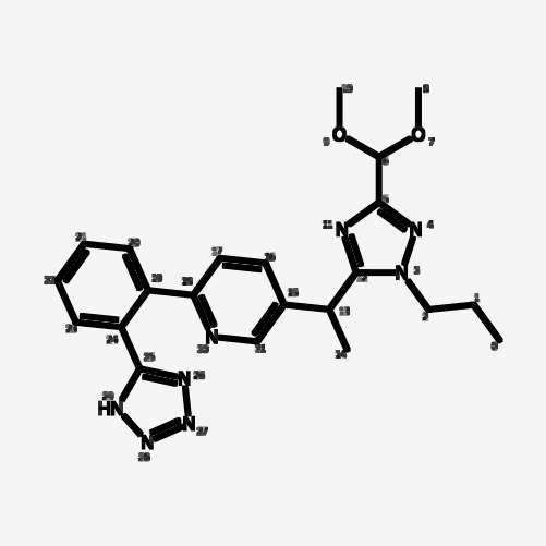 CCCn1nc(C(OC)OC)nc1C(C)c1ccc(-c2ccccc2-c2nnn[nH]2)nc1